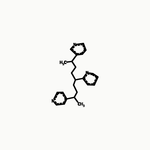 CC(CCC(CCC(C)c1cccnc1)c1ccccn1)c1ccncc1